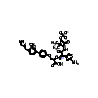 C[n+]1cc(-c2ccc(OCC(O/N=C(\C(=O)N[C@@H]3C(=O)N(OS(=O)(=O)[O-])C3(C)C)c3csc(N)n3)C(=O)O)cc2)ccc1CCCN